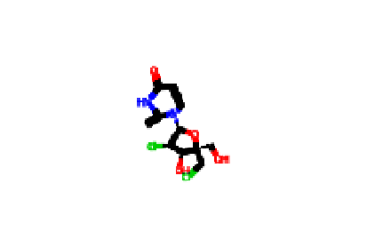 C=C1NC(=O)C=CN1[C@@H]1O[C@@](CO)(CCl)[C@@H](O)[C@H]1Cl